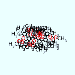 CCOC(=O)COc1c(C)cc(C(C)(C)C(C)(C)C)cc1-c1cc(C(C)(C)C(C)(C)C)cc(-c2cc(C(C)(C)C(C)(C)C)cc(-c3cc(C(C)(C)C(C)(C)C)cc(-c4cc(C(C)(C)C(C)(C)C)cc(-c5cc(C(C)(C)C(C)(C)C)cc(CC)c5OCC(=O)OCC)c4OCC(=O)OCC)c3OCC(=O)OCC)c2OCC(=O)OCC)c1OCC(=O)OCC